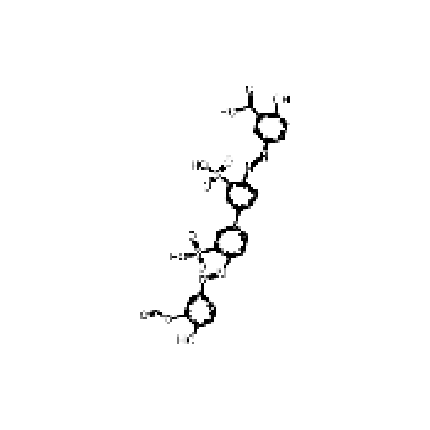 O=COc1cc(N=Nc2ccc(-c3ccc(N=Nc4ccc(O)c(C(=O)O)c4)c(S(=O)(=O)O)c3)cc2S(=O)(=O)O)ccc1O